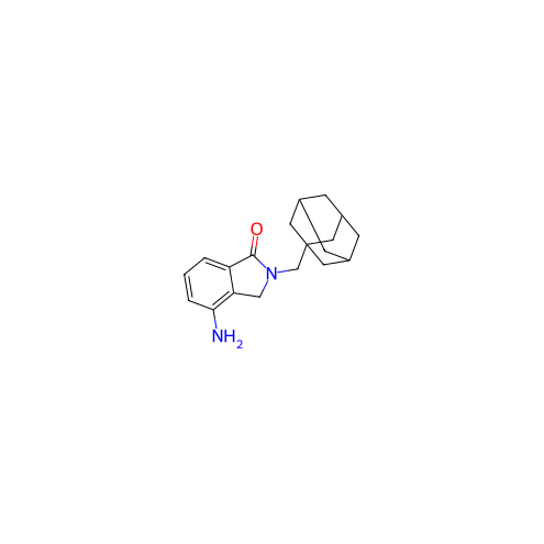 Nc1cccc2c1CN(CC13CC4CC(CC(C4)C1)C3)C2=O